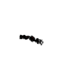 C=C(C)C(=O)OCCC(F)(F)C(F)(F)C(F)(F)C(F)(F)CCSc1ccc2cc(-c3cccnc3)oc2c1